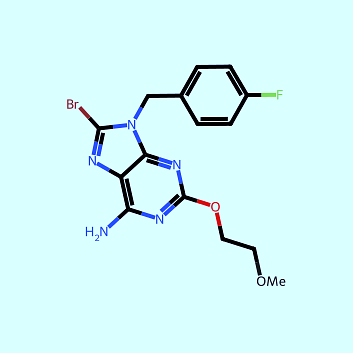 COCCOc1nc(N)c2nc(Br)n(Cc3ccc(F)cc3)c2n1